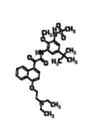 CCN(CC)CCOc1ccc(C(=O)C(=O)Nc2cc(C(C)(C)C)cc(NS(C)(=O)=O)c2OC)c2ccccc12